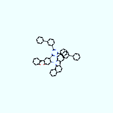 c1ccc(-c2ccc(-c3nc(-c4cccc(-c5ccccc5)c4)nc(-c4cc5c(cc4-n4c6cc7ccccc7cc6c6ccc7ccccc7c64)oc4ccccc45)n3)cc2)cc1